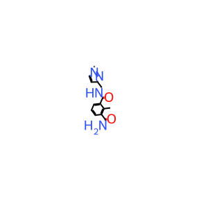 Cc1c(C(N)=O)cccc1C(=O)NCc1ccn(C)n1